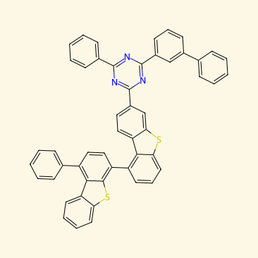 c1ccc(-c2cccc(-c3nc(-c4ccccc4)nc(-c4ccc5c(c4)sc4cccc(-c6ccc(-c7ccccc7)c7c6sc6ccccc67)c45)n3)c2)cc1